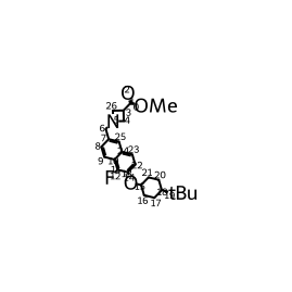 COC(=O)C1CN(Cc2ccc3c(F)c(OC4CCC(C(C)(C)C)CC4)ccc3c2)C1